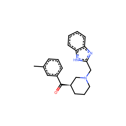 Cc1cccc(C(=O)[C@@H]2CCCN(Cc3nc4ccccc4[nH]3)C2)c1